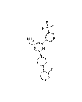 NCc1cc(-c2cccc(C(F)(F)F)c2)nc(N2CCN(c3ccccc3F)CC2)n1